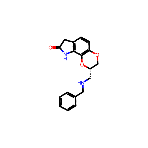 O=C1Cc2ccc3c(c2N1)O[C@@H](CNCc1ccccc1)CO3